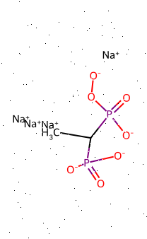 CC(P(=O)([O-])[O-])P(=O)([O-])O[O-].[Na+].[Na+].[Na+].[Na+]